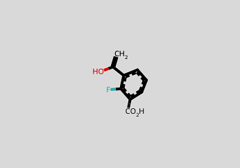 C=C(O)c1cccc(C(=O)O)c1F